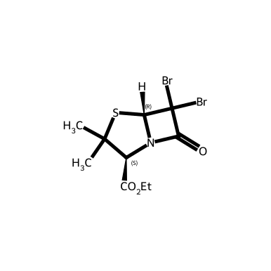 CCOC(=O)[C@@H]1N2C(=O)C(Br)(Br)[C@H]2SC1(C)C